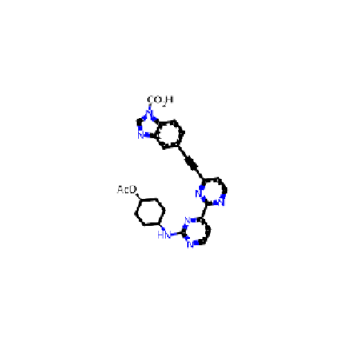 CC(=O)O[C@H]1CC[C@@H](Nc2nccc(-c3nccc(C#Cc4ccc5c(c4)ncn5C(=O)O)n3)n2)CC1